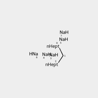 CCCCCCCCCCCCCCC.[NaH].[NaH].[NaH].[NaH].[NaH]